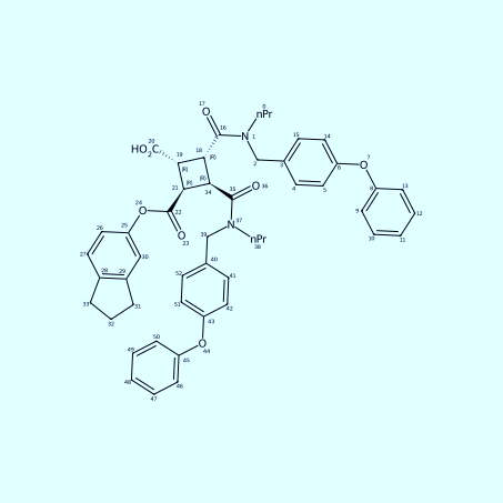 CCCN(Cc1ccc(Oc2ccccc2)cc1)C(=O)[C@H]1[C@@H](C(=O)O)[C@H](C(=O)Oc2ccc3c(c2)CCC3)[C@@H]1C(=O)N(CCC)Cc1ccc(Oc2ccccc2)cc1